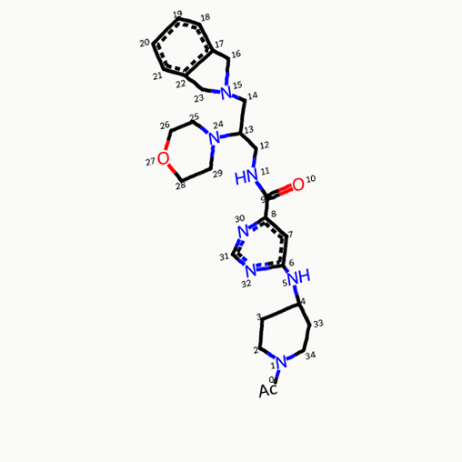 CC(=O)N1CCC(Nc2cc(C(=O)NCC(CN3Cc4ccccc4C3)N3CCOCC3)ncn2)CC1